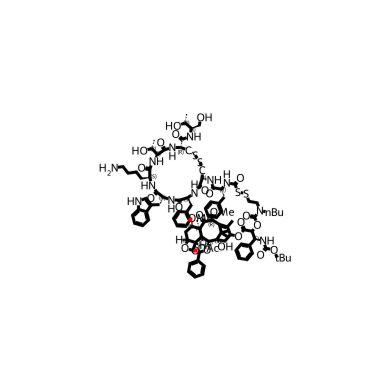 CCCCN(CCSSC(=O)N[C@H](Cc1ccccc1)C(=O)N[C@H]1CSSC[C@@H](C(=O)N[C@H](CO)[C@@H](C)O)NC(=O)[C@H]([C@@H](C)O)NC(=O)[C@H](CCCCN)NC(=O)[C@@H](Cc2c[nH]c3ccccc23)NC(=O)[C@H](Cc2ccccc2)NC1=O)C(=O)OC(C(=O)OC1C[C@@]2(O)[C@@H](OC(=O)c3ccccc3)[C@@H]3[C@]4(OC(C)=O)CO[C@@H]4C[C@H](OC)[C@@]3(C)C(=O)[C@H](OC)C(=C1C)C2(C)C)[C@@H](NC(=O)OC(C)(C)C)c1ccccc1